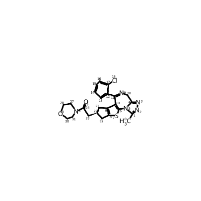 Cc1nnc2n1-c1sc3c(c1C(c1ccccc1Cl)=NC2)C[C@H](CC(=O)N1CCOCC1)C3